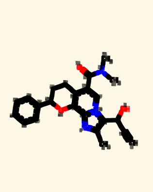 C#CC(O)c1c(C)nc2c3c(c(C(=O)N(C)C)cn12)CCC(c1ccccc1)O3